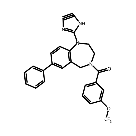 O=C(c1cccc(OC(F)(F)F)c1)N1CCN(c2nc#c[nH]2)c2ccc(-c3ccccc3)cc2C1